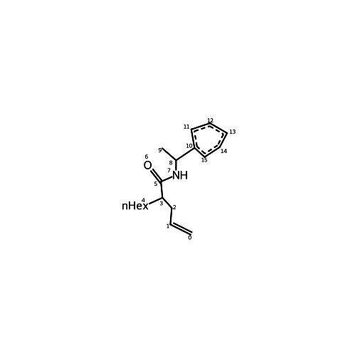 C=CCC(CCCCCC)C(=O)NC(C)c1ccccc1